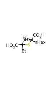 CCCCCCC(CC)(SC(CC)(CCCCCC)C(=O)O)C(=O)O